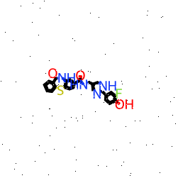 O=C(NCC1=CN=C(c2ccc(O)c(F)c2)NC1)c1ccc2c(c1)NC(=O)c1ccccc1S2